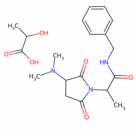 CC(C(=O)NCc1ccccc1)N1C(=O)CC(N(C)C)C1=O.CC(O)C(=O)O